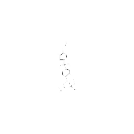 CCC(CC)(c1ccc(CCBr)c(C)c1)c1ccc(CCC(O[Si](CC)(CC)CC)C(C)(C)C)c(C)c1